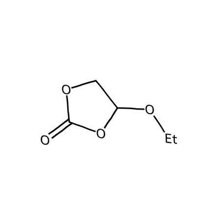 CCOC1COC(=O)O1